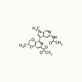 CC(=O)Nc1cc2c(-c3nc(S(C)(=O)=O)cc4c3OCC(C)O4)cn(C)c2cn1